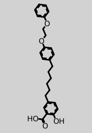 O=C(O)c1cc(CCCCCCc2ccc(OCCOc3ccccc3)cc2)ccc1O